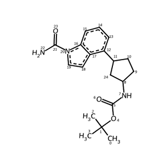 CC(C)(C)OC(=O)NC1CCC(c2cccc3c2ccn3C(N)=O)C1